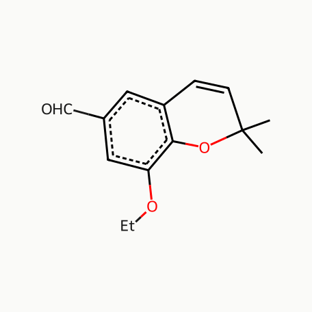 CCOc1cc(C=O)cc2c1OC(C)(C)C=C2